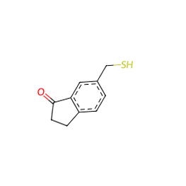 O=C1CCc2ccc(CS)cc21